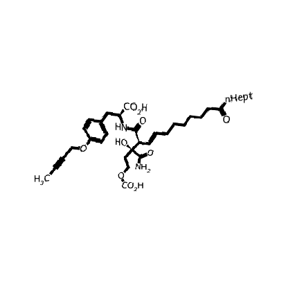 CC#CCOc1ccc(C[C@H](NC(=O)[C@@H](/C=C/CCCCCCC(=O)CCCCCCC)[C@@](O)(CCOC(=O)O)C(N)=O)C(=O)O)cc1